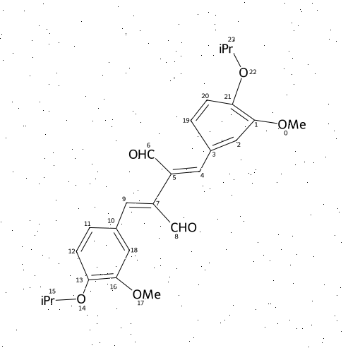 COc1cc(/C=C(C=O)/C(C=O)=C/c2ccc(OC(C)C)c(OC)c2)ccc1OC(C)C